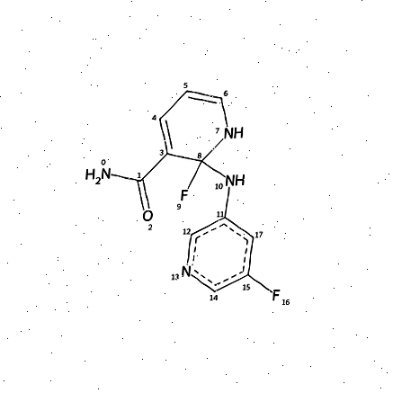 NC(=O)C1=CC=CNC1(F)Nc1cncc(F)c1